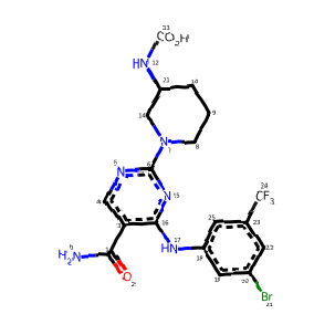 NC(=O)c1cnc(N2CCCC(NC(=O)O)C2)nc1Nc1cc(Br)cc(C(F)(F)F)c1